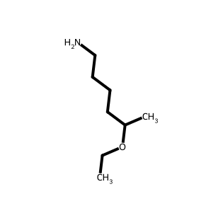 CCOC(C)CCCCN